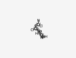 N#Cc1cc(Cl)cc(Oc2cc(Cl)cc(OCC(=O)Nc3ccc4[nH]cnc4c3)c2)c1